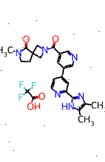 Cc1nc(-c2cc(-c3cncc(C(=O)N4CC5(CCN(C)C5=O)C4)c3)ccn2)[nH]c1C.O=C(O)C(F)(F)F